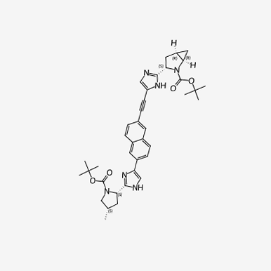 C[C@H]1C[C@@H](c2nc(-c3ccc4cc(C#Cc5cnc([C@@H]6C[C@H]7C[C@H]7N6C(=O)OC(C)(C)C)[nH]5)ccc4c3)c[nH]2)N(C(=O)OC(C)(C)C)C1